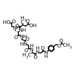 CC(=O)OCc1ccc(NC(=O)CNC(=O)[C@H](C)NC(=O)CNC(=O)CNC(=O)[C@H](CNCC(=O)O)NC(=O)C(C)CC(=O)O)cc1